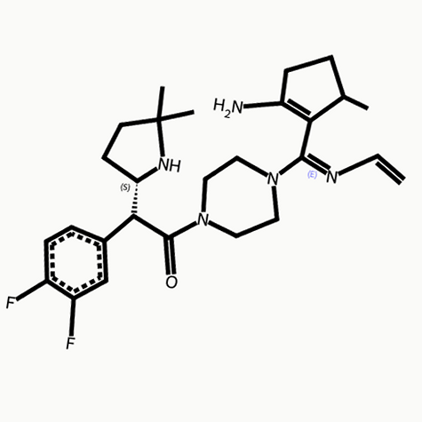 C=C/N=C(\C1=C(N)CCC1C)N1CCN(C(=O)C(c2ccc(F)c(F)c2)[C@@H]2CCC(C)(C)N2)CC1